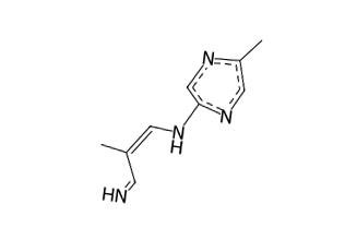 C/C(C=N)=C/Nc1cnc(C)cn1